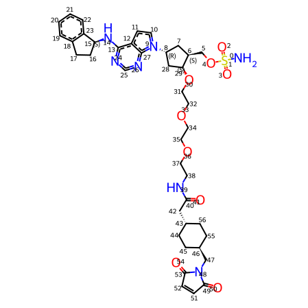 NS(=O)(=O)OC[C@@H]1C[C@@H](n2ccc3c(N[C@H]4CCc5ccccc54)ncnc32)C[C@@H]1OCCOCCOCCNC(=O)C[C@H]1CC[C@H](CN2C(=O)C=CC2=O)CC1